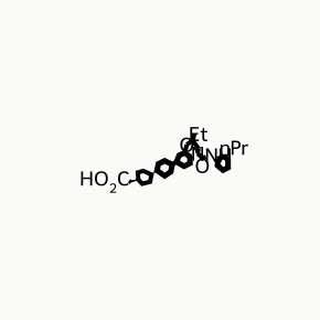 CCCc1ccccc1NC(=O)N1CC(CC)Oc2cc(-c3ccc([C@H]4CC[C@H](CC(=O)O)CC4)cc3)ccc21